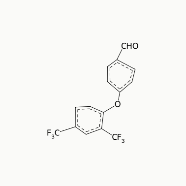 O=Cc1ccc(Oc2ccc(C(F)(F)F)cc2C(F)(F)F)cc1